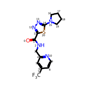 O=C(NCc1cc(C(F)(F)F)ccn1)c1nnc(N2CCCC2)s1